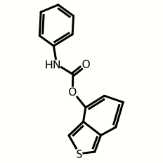 O=C(Nc1ccccc1)Oc1cccc2cscc12